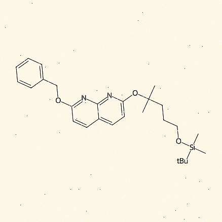 CC(C)(CCCO[Si](C)(C)C(C)(C)C)Oc1ccc2ccc(OCc3ccccc3)nc2n1